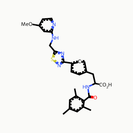 COc1ccnc(NCc2nc(-c3ccc(CC(NC(=O)c4c(C)cc(C)cc4C)C(=O)O)cc3)ns2)c1